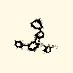 Nc1cncc(-n2c3ccc(-c4ccccc4)cc3c3cc(-c4ccccc4)ccc32)n1